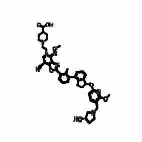 CO/N=c1/c2nc(-c3cccc(-c4cccc5c4CC[C@@H]5Oc4ccc(CN5CC[C@@H](O)C5)c(OC)n4)c3C)oc2c(C#N)cn1CCN1CCC(C(=O)O)CC1